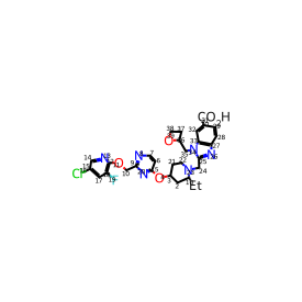 CCC1CC(Oc2ccnc(COc3ncc(Cl)cc3F)n2)CCN1Cc1nc2ccc(C(=O)O)cc2n1CC1CCO1